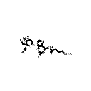 C#C[C@]1(CO)O[C@@H](n2cnc3c(NC(=O)CCCCCCCCCCCCC)nc(F)nc32)C[C@@H]1OC(C)=O